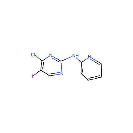 Clc1nc(Nc2ccccn2)ncc1I